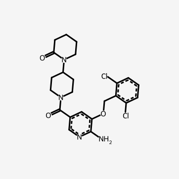 Nc1ncc(C(=O)N2CCC(N3CCCCC3=O)CC2)cc1OCc1c(Cl)cccc1Cl